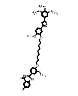 COc1cc(C2NC(=O)c3cc(Cl)ccc3N2)ccc1OCCCCCCCCCOc1cc(-c2cc(-c3cc(OC)c(OC)c(OC)c3)on2)ccc1OC